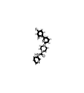 O=C(Nc1cccnc1)N1CCN(c2cccc(-c3ccc(F)cc3F)n2)CC1